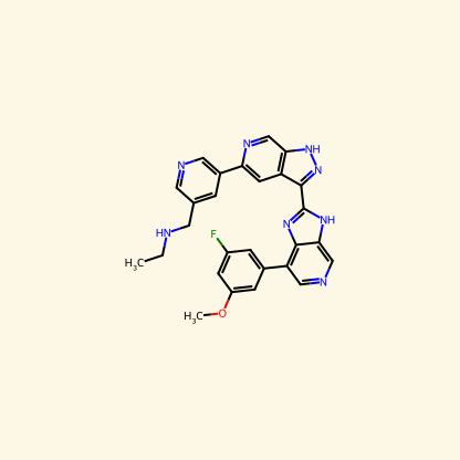 CCNCc1cncc(-c2cc3c(-c4nc5c(-c6cc(F)cc(OC)c6)cncc5[nH]4)n[nH]c3cn2)c1